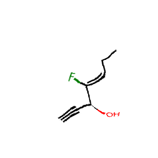 C#C[C@H](O)C(F)=CCC